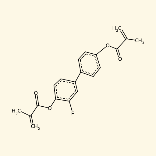 C=C(C)C(=O)Oc1ccc(-c2ccc(OC(=O)C(=C)C)c(F)c2)cc1